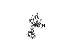 Cc1nn(C)c(C)c1-c1cccc2c(CCCOc3cccc4ccccc34)c(C(=O)O)n(CC(=O)N(C)C)c12